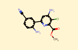 COC(=O)c1nc(-c2cc(C#N)ccc2N)cc(N)c1Cl